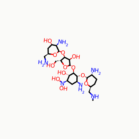 CNC[C@@H]1CC[C@@H](N)[C@@H](O[C@H]2[C@H](O[C@@H]3O[C@H](CO)[C@@H](O[C@H]4O[C@@H](CN)C[C@H](O)[C@H]4N)[C@H]3O)[C@@H](O)[C@H](N(O)O)C[C@@H]2N)O1